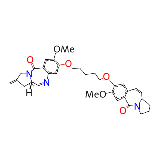 C=C1C[C@H]2C=Nc3cc(OCCCCCOc4cc5c(cc4OC)C(=O)N4CCCC4C=C5)c(OC)cc3C(=O)N2C1